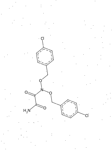 NC(=O)C(=O)N(OCc1ccc(Cl)cc1)OCc1ccc(Cl)cc1